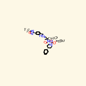 CC(C)(C)COC(=O)N1CC[C@H](c2ccccc2)C[C@@H]1C(=O)N[C@@](C)(C=O)CNCc1ccc(-c2noc(C(F)(F)F)n2)cc1